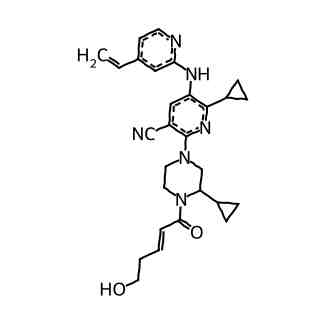 C=Cc1ccnc(Nc2cc(C#N)c(N3CCN(C(=O)C=CCCO)C(C4CC4)C3)nc2C2CC2)c1